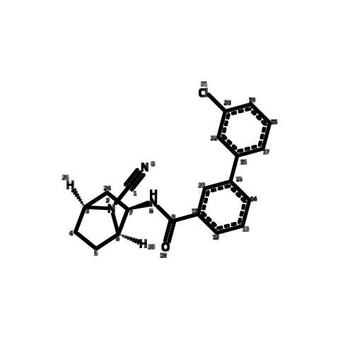 N#CN1[C@H]2CC[C@@H]1[C@H](NC(=O)c1cccc(-c3cccc(Cl)c3)c1)C2